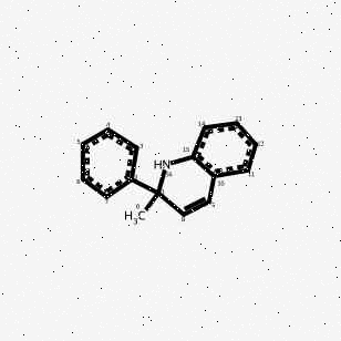 CC1(c2ccccc2)C=Cc2ccccc2N1